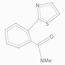 CNC(=O)c1ccccc1-c1nccs1